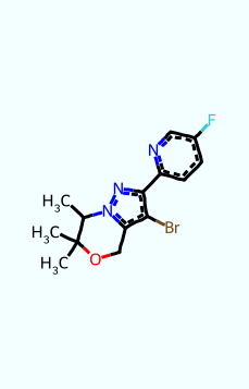 CC1n2nc(-c3ccc(F)cn3)c(Br)c2COC1(C)C